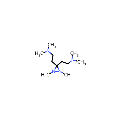 CN(C)CCC1(CCN(C)C)N(C)N1C